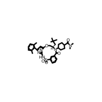 Cc1cccc(C)c1-c1cc2nc(n1)NS(=O)(=O)c1cccc(c1)C(=O)N(C1CCC(C(=O)N(C)C)CC1)[C@H](CC(C)(C)C)CO2